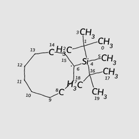 CC(C)(C)[Si](C)([C]1CCCCCCCCC1)C(C)(C)C